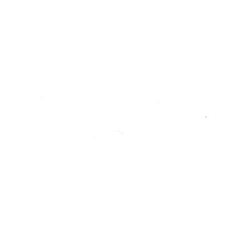 O=C(O)c1cn(C2CC2)c2cc(N3CCN(Cc4ccc(N5CCCC5)cc4)CC3)c(F)cc2c1=O